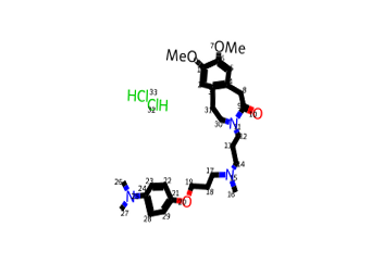 COc1cc2c(cc1OC)CC(=O)N(CCCN(C)CCCOc1ccc(N(C)C)cc1)CC2.Cl.Cl